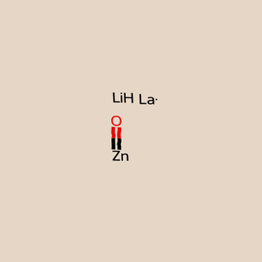 [La].[LiH].[O]=[Zn]